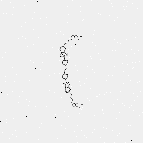 O=C(O)CCCCc1ccc2oc(-c3ccc(C=Cc4ccc(-c5nc6cc(CCCCC(=O)O)ccc6o5)cc4)cc3)nc2c1